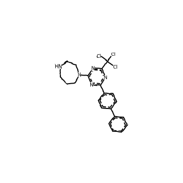 ClC(Cl)(Cl)c1nc(-c2ccc(-c3ccccc3)cc2)nc(N2CCCNCC2)n1